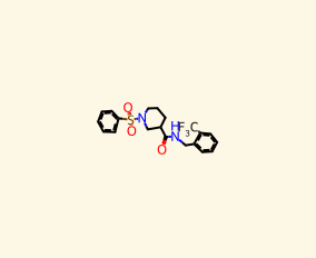 O=C(NCc1ccccc1C(F)(F)F)C1CCCN(S(=O)(=O)c2ccccc2)C1